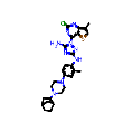 Cc1cc(N2CCN(C3CC4CCC3C4)CC2)ccc1Nc1nc(N)n(-c2nc(Cl)nc3c(C)csc23)n1